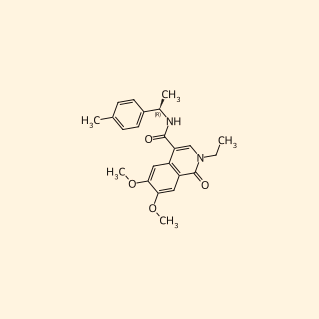 CCn1cc(C(=O)N[C@H](C)c2ccc(C)cc2)c2cc(OC)c(OC)cc2c1=O